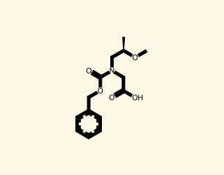 CO[C@H](C)CN(CC(=O)O)C(=O)OCc1ccccc1